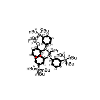 CCCC[Si](CCCC)(CCCC)c1cccc(P(c2cccc([Si](CCCC)(CCCC)CCCC)c2)N(C(C)C)P(c2cccc([Si](CCCC)(CCCC)CCCC)c2)c2ccccc2OC(F)(F)F)c1